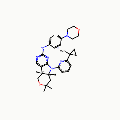 C=C(/C=C\C(=C/C)Nc1ncc2c(n1)N(c1cccc(C3(NC)CC3)n1)[C@@H]1CC(C)(C)OC[C@]21C)N1CCOCC1